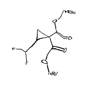 CCCCOC(=O)C1(C(=O)OCCCC)CC1C(F)F